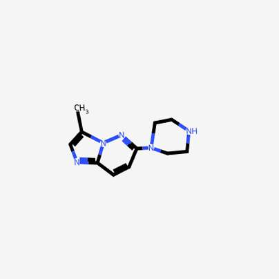 Cc1cnc2ccc(N3CCNCC3)nn12